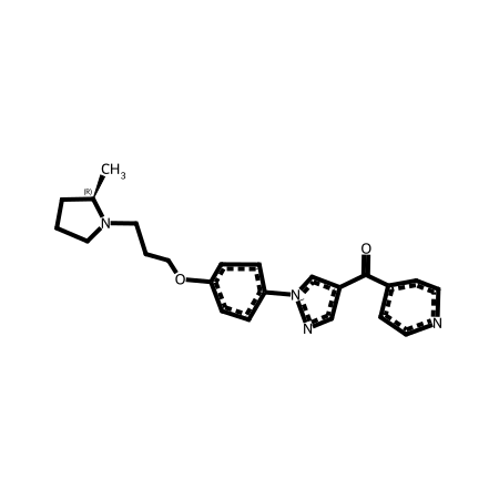 C[C@@H]1CCCN1CCCOc1ccc(-n2cc(C(=O)c3ccncc3)cn2)cc1